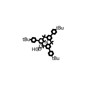 CC(C)(C)c1ccc(-c2cc3c4c(c2)C(C)(C)c2cc(-c5ccc(C(C)(C)C)cc5)cc5c2N4C2=C(CC(c4ccc(C(C)(C)C)cc4)C=C2C5(C)OOO)C3(C)C)cc1